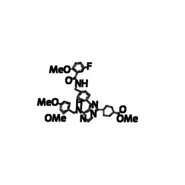 COC(=O)C1CCC(c2nc(-c3ccc(CNC(=O)c4cc(F)ccc4OC)cc3)c3c(NCc4ccc(OC)cc4OC)nccn23)CC1